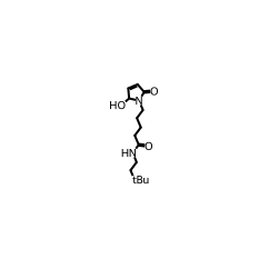 CC(C)(C)CCNC(=O)CCCCN1C(=O)C=CC1O